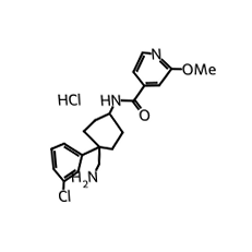 COc1cc(C(=O)NC2CCC(CN)(c3cccc(Cl)c3)CC2)ccn1.Cl